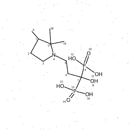 CC1CCN(CCC(O)(P(=O)(O)O)P(=O)(O)O)C1(C)C